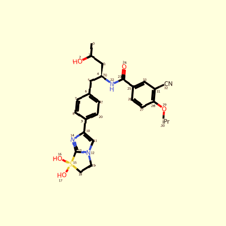 CC(O)C[C@H](Cc1ccc(-c2cn3c(n2)S(O)(O)CC3)cc1)NC(=O)c1ccc(OC(C)C)c(C#N)c1